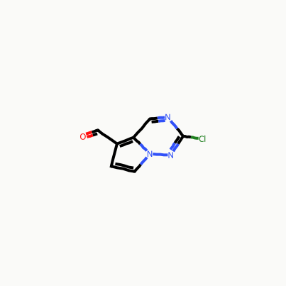 O=Cc1ccn2nc(Cl)ncc12